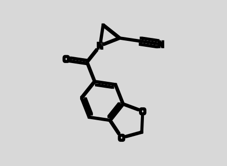 N#CC1CN1C(=O)c1ccc2c(c1)OCO2